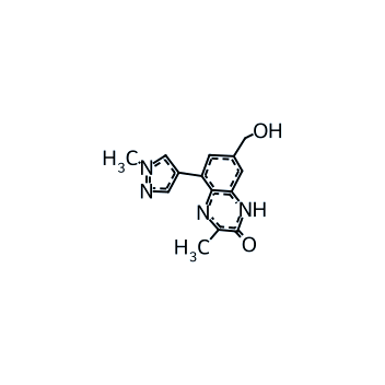 Cc1nc2c(-c3cnn(C)c3)cc(CO)cc2[nH]c1=O